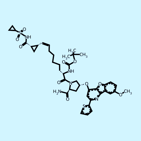 COc1ccc2oc3c(O[C@@H]4C[C@@H](C(N)=O)N(C(=O)[C@H](CCCCC/C=C\[C@@H]5C[C@@H]5C(=O)NS(=O)(=O)C5CC5)NC(=O)OC(C)(C)C)C4)cc(-c4cccs4)nc3c2c1